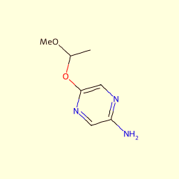 COC(C)Oc1cnc(N)cn1